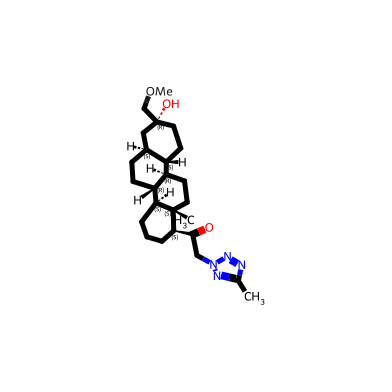 COC[C@@]1(O)CC[C@H]2[C@@H](CC[C@@H]3[C@@H]2CC[C@]2(C)[C@@H](C(=O)Cn4nnc(C)n4)CCC[C@@H]32)C1